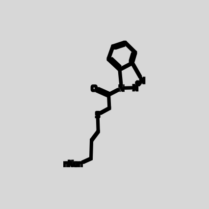 CCCCCCCCCCCCSCC(=O)n1nnc2ccccc21